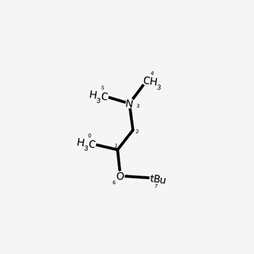 CC(CN(C)C)OC(C)(C)C